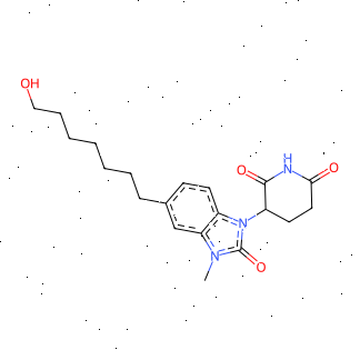 Cn1c(=O)n(C2CCC(=O)NC2=O)c2ccc(CCCCCCCO)cc21